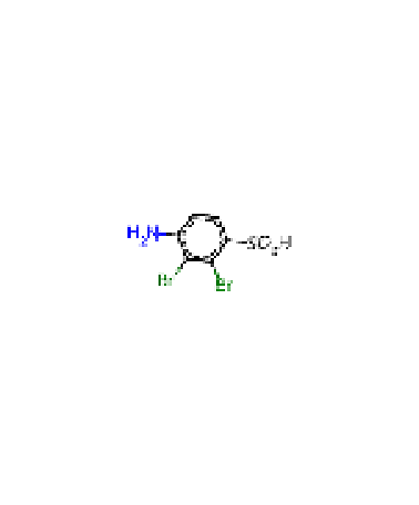 Nc1ccc(S(=O)(=O)O)c(Br)c1Br